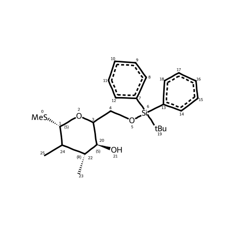 CS[C@@H]1OC(CO[Si](c2ccccc2)(c2ccccc2)C(C)(C)C)[C@@H](O)[C@H](C)C1C